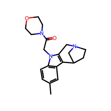 Cc1ccc2c(c1)c1c(n2CC(=O)N2CCOCC2)CN2CCC1C2